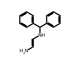 NC=CNC(c1ccccc1)c1ccccc1